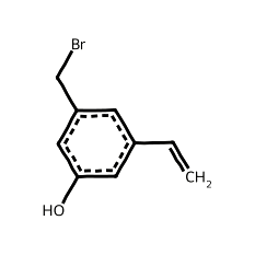 C=Cc1cc(O)cc(CBr)c1